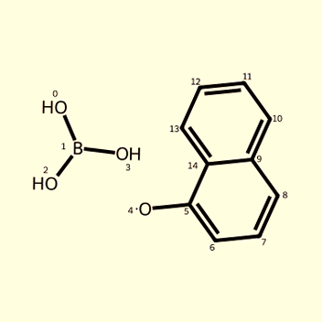 OB(O)O.[O]c1cccc2ccccc12